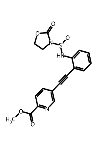 COC(=O)c1ccc(C#Cc2ccccc2N[S+]([O-])N2CCOC2=O)cn1